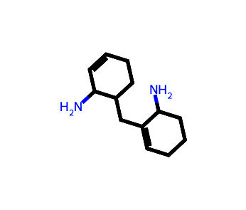 NC1CCCC=C1CC1CCC=CC1N